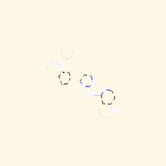 Fc1cnc(Nc2nccc3c2CCCN3)nc1-c1cc(F)c2c(c1)N(C1CCCC1)CCO2